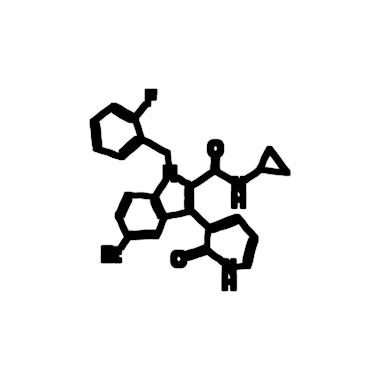 CCc1ccc2c(c1)c(-c1ccc[nH]c1=O)c(C(=O)NC1CC1)n2Cc1ccccc1F